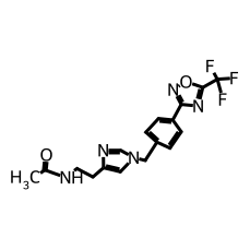 CC(=O)NCCc1cn(Cc2ccc(-c3noc(C(F)(F)F)n3)cc2)cn1